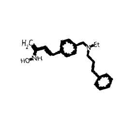 C=C(/C=C/c1ccc(CN(CC)CCCc2ccccc2)cc1)NO